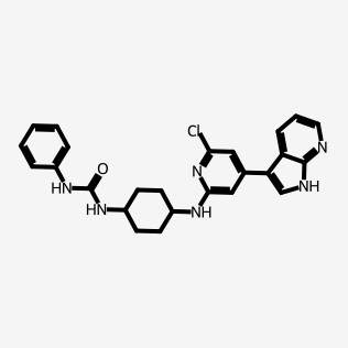 O=C(Nc1ccccc1)NC1CCC(Nc2cc(-c3c[nH]c4ncccc34)cc(Cl)n2)CC1